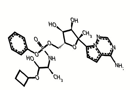 C[C@H](NP(=O)(OC[C@H]1O[C@@](C)(c2ccc3c(N)ncnn23)[C@H](O)[C@@H]1O)Oc1ccccc1)C(O)OC1CCC1